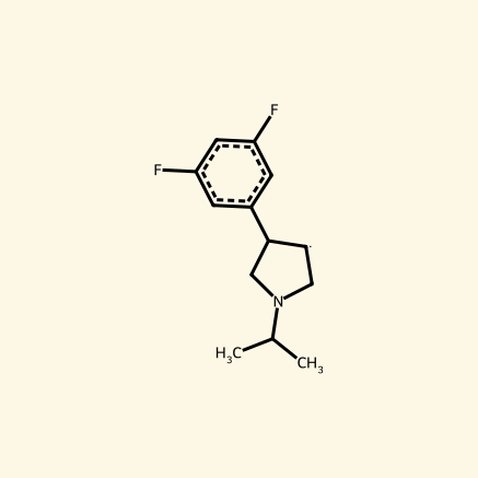 CC(C)N1C[CH]C(c2cc(F)cc(F)c2)C1